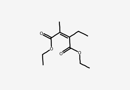 CCOC(=O)C(C)=C(CC)C(=O)OCC